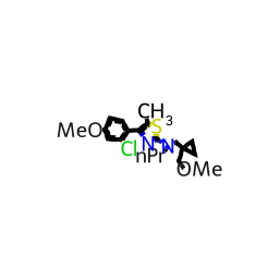 CCCN(CC1(COC)CC1)c1nc(-c2ccc(OC)cc2Cl)c(C)s1